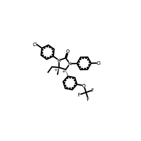 CC[C@@]1(C)[C@@H](c2cccc(OC(F)(F)F)c2)N(c2ccc(Cl)cc2)C(=O)N1c1ccc(Cl)cc1